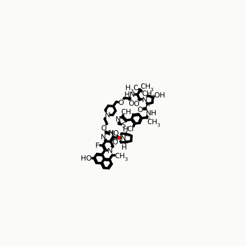 CCc1cccc2cc(O)cc(-c3ncc4c(N5C[C@H]6CC[C@@H](C5)N6C(=O)O)nc(OCCN5CCC(COCC(=O)NC(C(=O)N6C[C@H](O)C[C@H]6C(=O)N[C@@H](C)c6ccc(-c7scnc7C)c(Cl)c6)C(C)(C)C)CC5)nc4c3F)c12